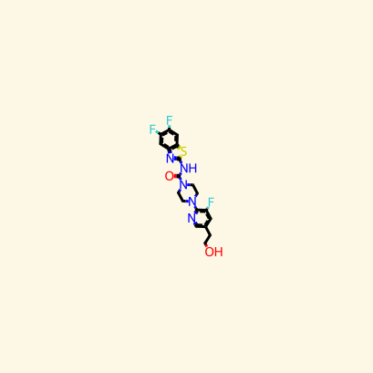 O=C(Nc1nc2cc(F)c(F)cc2s1)N1CCN(c2ncc(CCO)cc2F)CC1